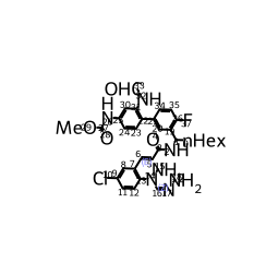 CCCCCCC(NC(=O)/C=C/c1cc(Cl)ccc1N(N)/C=N\N)c1cc(-c2ccc(NC(=O)OC)cc2NC=O)ccc1F